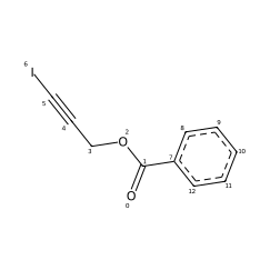 O=C(OCC#CI)c1ccccc1